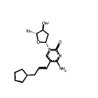 CC[C@H]1O[C@@H](n2cc(/C=C/CC3CCCC3)c(N)nc2=O)CC1O